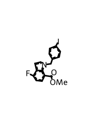 COC(=O)c1ccc(F)c2ccn(Cc3ccc(I)cc3)c12